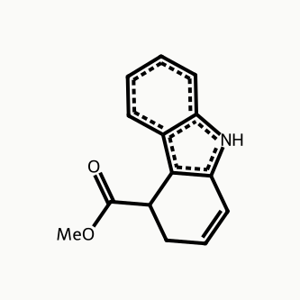 COC(=O)C1CC=Cc2[nH]c3ccccc3c21